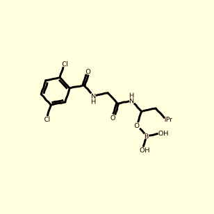 CC(C)CC(NC(=O)CNC(=O)c1cc(Cl)ccc1Cl)OB(O)O